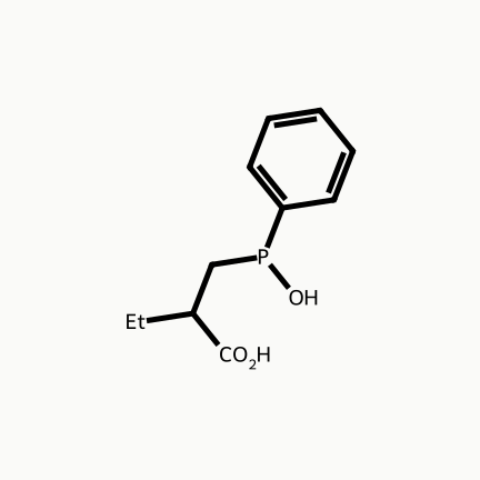 CCC(CP(O)c1ccccc1)C(=O)O